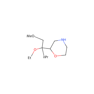 CCCC(COC)(OCC)C1CNCCO1